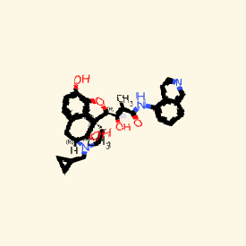 C/C(C(=O)Nc1cccc2cnccc12)=C(/O)[C@@H]1Oc2c(O)ccc3c2[C@@]12CCN(CC1CC1)[C@H](C3)[C@@]2(C)O